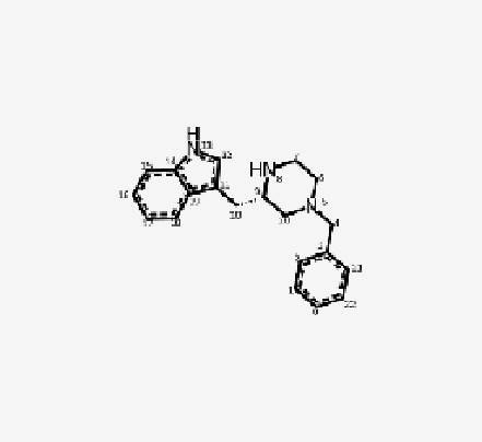 c1ccc(CN2CCN[C@@H](Cc3c[nH]c4ccccc34)C2)cc1